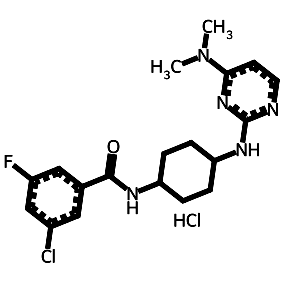 CN(C)c1ccnc(NC2CCC(NC(=O)c3cc(F)cc(Cl)c3)CC2)n1.Cl